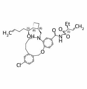 C=CCC[C@H](O)[C@@H]1CC[C@H]1CN1CCCCc2cc(Cl)ccc2COc2ccc(C(=O)NS(=O)(=O)[C@H](C=C)CC)cc21